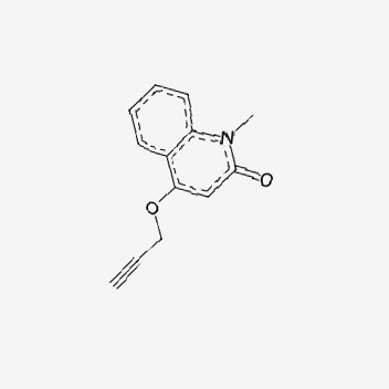 C#CCOc1cc(=O)n(C)c2ccccc12